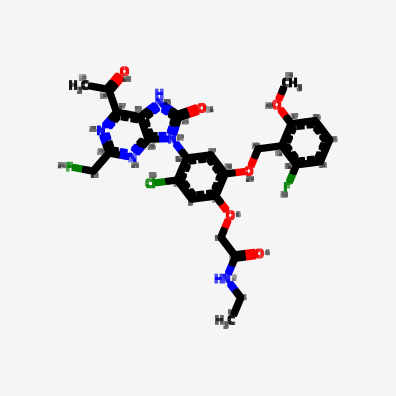 CCNC(=O)COc1cc(Cl)c(-n2c(=O)[nH]c3c(C(C)=O)nc(CF)nc32)cc1OCc1c(F)cccc1OC